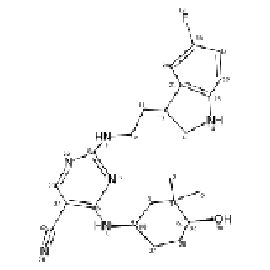 CC1(C)C[C@H](Nc2nc(NCCC3CNc4ccc(F)cc43)ncc2C#N)CC[C@@H]1O